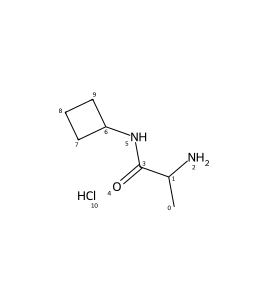 CC(N)C(=O)NC1CCC1.Cl